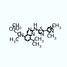 Cc1nn(C)cc1-c1ncc(Nc2ncc3c(N4C[C@H](CS(C)(=O)=O)[C@H]4C)ccc(C(C)C)c3n2)s1